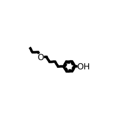 CCCOCCCCc1ccc(O)cc1